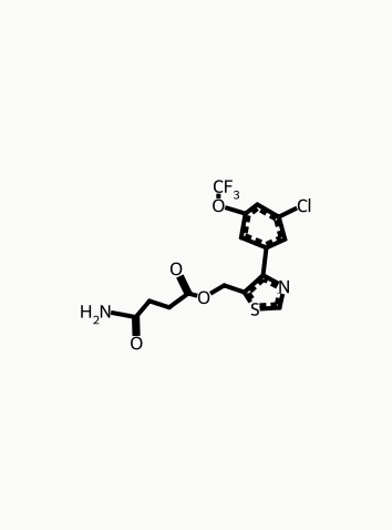 NC(=O)CCC(=O)OCc1scnc1-c1cc(Cl)cc(OC(F)(F)F)c1